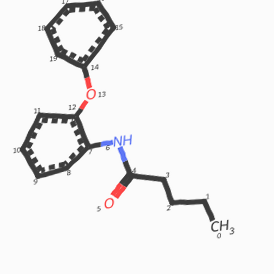 CCCCC(=O)Nc1ccccc1Oc1ccccc1